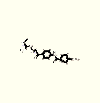 C/N=C(\O/N=C/C(=O)c1ccc(NC(=O)c2ccc(OC)cc2)cc1)C(F)(F)F